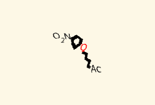 CC(=O)CCCCCOc1ccc([N+](=O)[O-])cc1